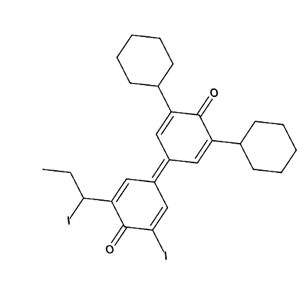 CCC(I)C1=CC(=C2C=C(C3CCCCC3)C(=O)C(C3CCCCC3)=C2)C=C(I)C1=O